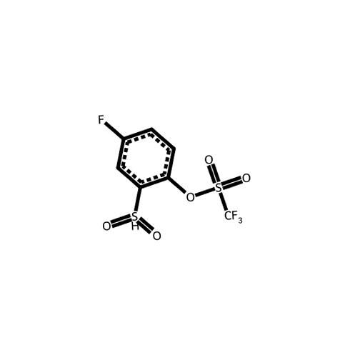 O=[SH](=O)c1cc(F)ccc1OS(=O)(=O)C(F)(F)F